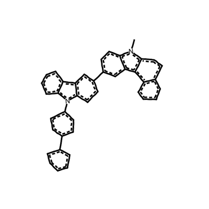 Cn1c2ccc(-c3ccc4c(c3)c3ccccc3n4-c3ccc(-c4ccccc4)cc3)cc2c2c3ccccc3ccc21